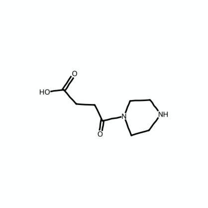 O=C(O)CCC(=O)N1CCNCC1